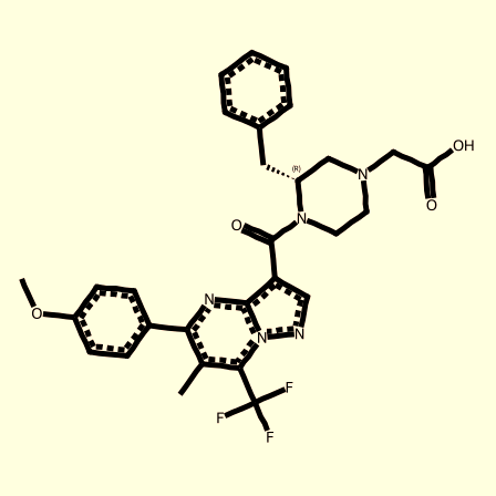 COc1ccc(-c2nc3c(C(=O)N4CCN(CC(=O)O)C[C@H]4Cc4ccccc4)cnn3c(C(F)(F)F)c2C)cc1